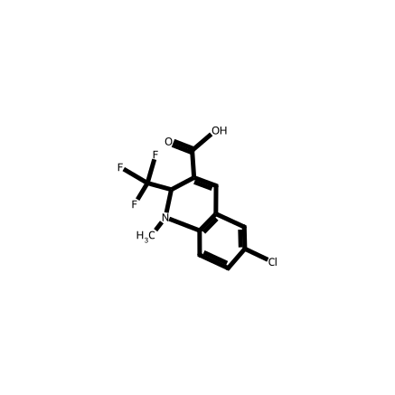 CN1c2ccc(Cl)cc2C=C(C(=O)O)C1C(F)(F)F